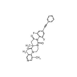 Cc1cncc(C)c1N1CCN2C(=O)N(c3c(F)cc(C#Cc4ccccc4)cc3F)C(=O)CC2(C)C1=O